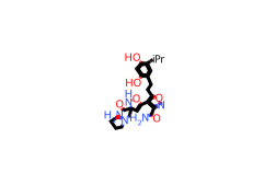 CC(C)c1cc(CCc2onc(C(N)=O)c2C2=CC(CN3CCCC3)(C(N)=O)NO2)c(O)cc1O